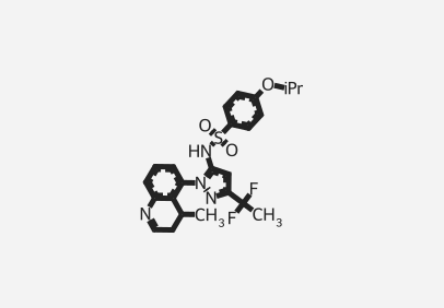 CC(C)Oc1ccc(S(=O)(=O)Nc2cc(C(C)(F)F)nn2-c2cccc3c2C(C)CC=N3)cc1